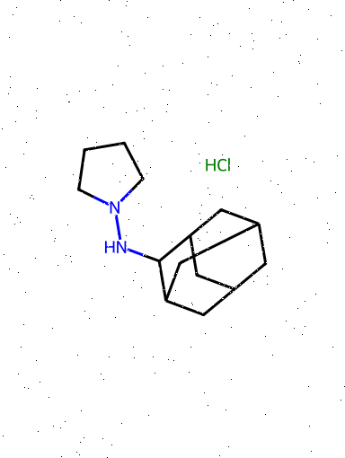 C1CCN(NC2C3CC4CC(C3)CC2C4)C1.Cl